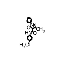 CSc1ccc(NC(=O)C2C(=O)N(c3ccccc3)N=C2C)cc1